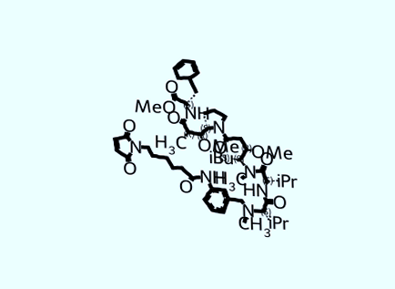 CC[C@H](C)[C@@H]([C@@H](CC(=O)N1CCC[C@H]1[C@H](OC)[C@@H](C)C(=O)N[C@@H](CC1C=CC=CC1)C(=O)OC)OC)N(C)C(=O)[C@@H](NC(=O)[C@H](C(C)C)N(C)Cc1cccc(NC(=O)CCCCCN2C(=O)C=CC2=O)c1)C(C)C